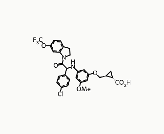 COc1cc(NC(C(=O)N2CCc3ccc(OC(F)(F)F)cc32)c2ccc(Cl)cc2)cc(OC[C@H]2C[C@@H]2C(=O)O)c1